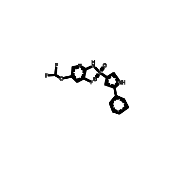 O=S(=O)(Nc1ncc(OC(F)F)cc1F)c1c[nH]c(-c2ccccc2)c1